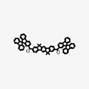 CC1(C)c2cc(C(=O)c3ccc4c(c3)C3(c5ccccc5-c5ccccc53)c3ccccc3-4)ccc2-c2cc3c(cc21)-c1ccc(C(=O)c2ccc4c(c2)C2(c5ccccc5-c5ccccc52)c2ccccc2-4)cc1C3(C)C